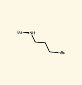 CCCCCCCN[C@H](C)CC